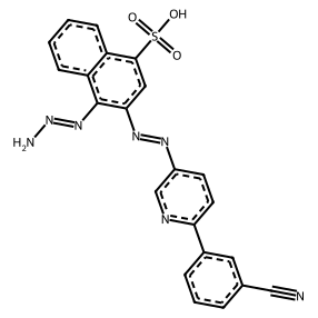 N#Cc1cccc(-c2ccc(/N=N/c3cc(S(=O)(=O)O)c4ccccc4c3N=NN)cn2)c1